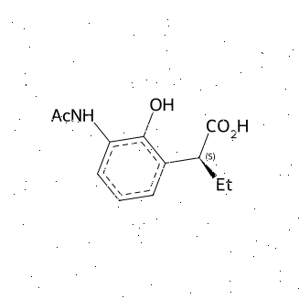 CC[C@H](C(=O)O)c1cccc(NC(C)=O)c1O